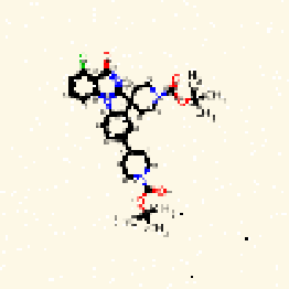 CC(C)(C)OC(=O)N1CCC(c2ccc3c(c2)C2(CCN(C(=O)OC(C)(C)C)CC2)c2nc(=O)c4c(Cl)cccc4n2-3)CC1